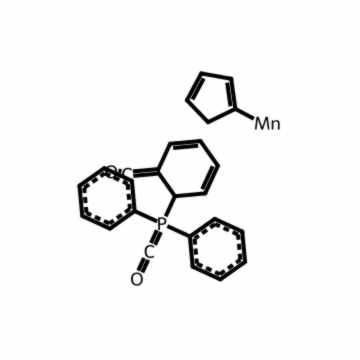 O=C=C1C=CC=CC1P(=C=O)(c1ccccc1)c1ccccc1.[Mn][C]1=CC=CC1